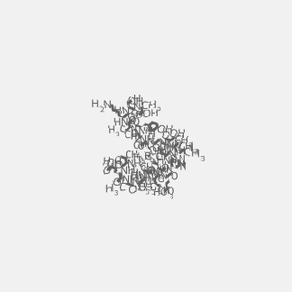 CC[C@H](C)[C@H](N)C(=O)N[C@@H](CCC(=O)O)C(=O)N[C@@H](C)C(=O)N[C@@H](C)C(=O)N[C@@H](C)C(=O)N[C@H](C(=O)N[C@@H](CCSC)C(=O)N[C@@H](CCC(=O)O)C(=O)N[C@@H](Cc1c[nH]cn1)C(=O)N[C@H](C(=O)N[C@@H](CC(C)C)C(=O)N[C@H](C(=O)NCC(=O)N[C@@H](CO)C(=O)N[C@@H](CO)C(=O)N[C@@H](Cc1ccc(O)cc1)C(=O)N[C@H](C(=O)N[C@@H](CCCCN)C(=O)N[C@@H](CO)C(=O)N[C@@H](C)C(=O)O)C(C)C)[C@@H](C)O)[C@@H](C)CC)[C@@H](C)CC